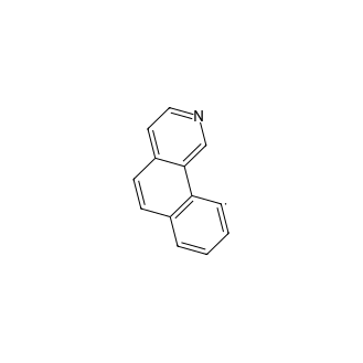 [c]1cccc2ccc3ccncc3c12